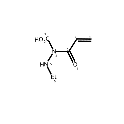 C=CC(=O)N(NCC)C(=O)O